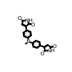 CN(c1ccc(C2=CC(=O)NC2=O)cc1)c1ccc(C2=CC(=O)NC2=O)cc1